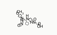 COc1ccc(-n2cc(C(Nc3ccc(C(=O)NCCC(=O)O)cc3)C3CCCCC3)c(CN3CCOCC3)n2)cc1